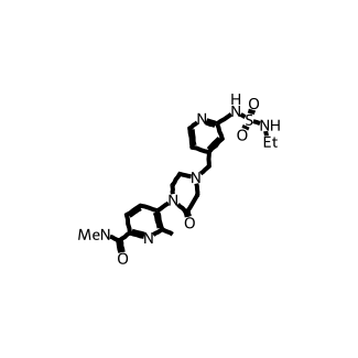 CCNS(=O)(=O)Nc1cc(CN2CCN(c3ccc(C(=O)NC)nc3C)C(=O)C2)ccn1